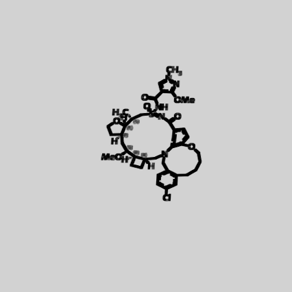 COc1nn(C)cc1C(=O)NS1(=O)=NC(=O)c2ccc3c(c2)N(Cc2ccc(Cl)cc2CCCCO3)C[C@@H]2CC[C@H]2[C@@H](OC)C[C@H]2CCO[C@@H]2[C@H](C)C1